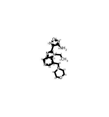 CCn1c(-c2nonc2N)nc2cncc(CN3CCOCC3)c21